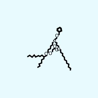 CCCCCCCCCCCCOCC(CN(CCCCCC(=O)OCC(CCCCCC)CCCCCCCC)CCOCc1ccccc1)OC(=O)CC